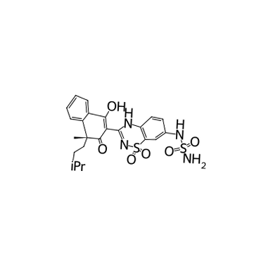 CC(C)CC[C@@]1(C)C(=O)C(C2=NS(=O)(=O)c3cc(NS(N)(=O)=O)ccc3N2)=C(O)c2ccccc21